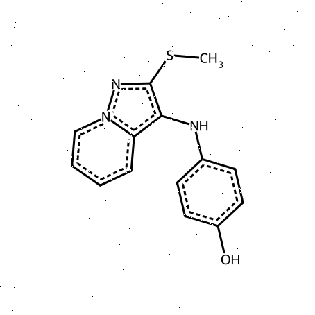 CSc1nn2ccccc2c1Nc1ccc(O)cc1